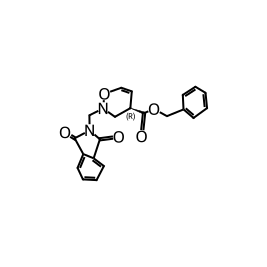 O=C(OCc1ccccc1)[C@@H]1C=CON(CN2C(=O)c3ccccc3C2=O)C1